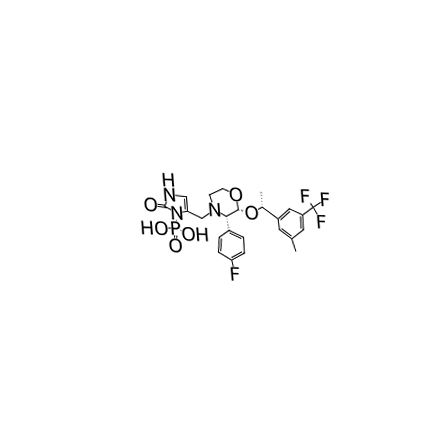 Cc1cc([C@@H](C)O[C@H]2OCCN(Cc3c[nH]c(=O)n3P(=O)(O)O)[C@H]2c2ccc(F)cc2)cc(C(F)(F)F)c1